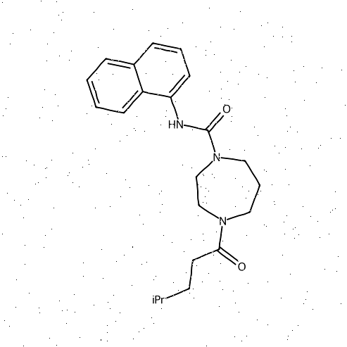 CC(C)CCC(=O)N1CCCN(C(=O)Nc2cccc3ccccc23)CC1